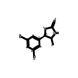 CC1NC(=O)O[C@@H]1c1cc(Cl)cc(Cl)c1